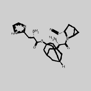 N#C[C@@H]1CC2CC2N1C(=O)[C@@H](N)C12CC3C[C@H](CC(OC(=O)[C@@H](N)Cc4ncc[nH]4)(C3)C1)C2